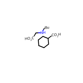 CCC(C)NCC(=O)O.O=C(O)C1CCCCC1